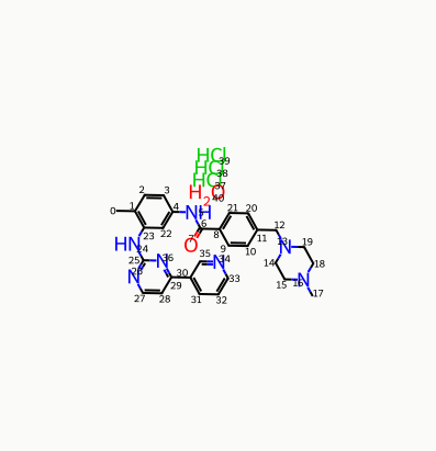 Cc1ccc(NC(=O)c2ccc(CN3CCN(C)CC3)cc2)cc1Nc1nccc(-c2cccnc2)n1.Cl.Cl.Cl.O